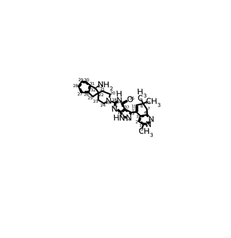 Cc1cc2c(nn1)CC(C)(C)C=C2c1n[nH]c2nc(N3CCC4(CC3)Cc3ccccc3[C@H]4N)[nH]c(=O)c12